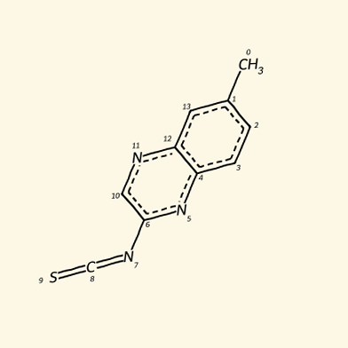 Cc1ccc2nc(N=C=S)cnc2c1